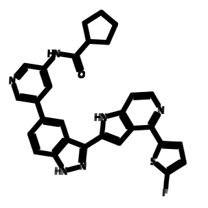 O=C(Nc1cncc(-c2ccc3[nH]nc(-c4cc5c(-c6ccc(F)s6)nccc5[nH]4)c3c2)c1)C1CCCC1